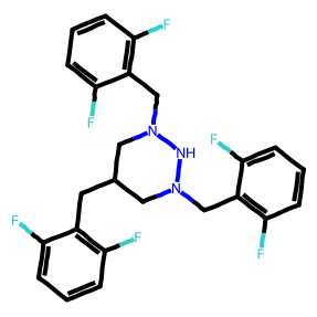 Fc1cccc(F)c1CC1CN(Cc2c(F)cccc2F)NN(Cc2c(F)cccc2F)C1